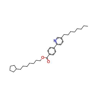 CCCCCCCCc1ccc(-c2ccc(C(=O)OCCCCCCCC3CCCC3)cc2)nc1